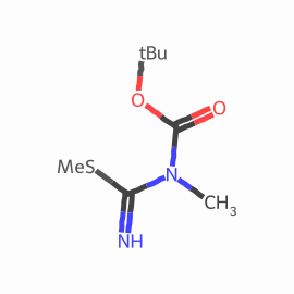 CSC(=N)N(C)C(=O)OC(C)(C)C